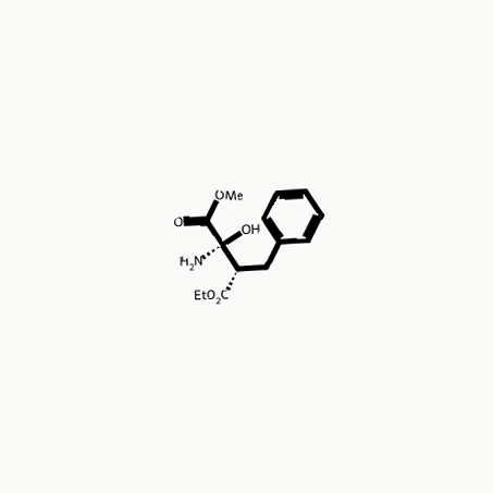 CCOC(=O)[C@@H](Cc1ccccc1)[C@](N)(O)C(=O)OC